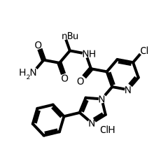 CCCCC(NC(=O)c1cc(Cl)cnc1-n1cnc(-c2ccccc2)c1)C(=O)C(N)=O.Cl